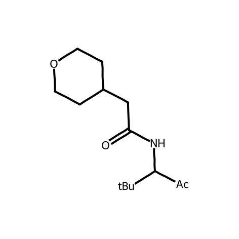 CC(=O)C(NC(=O)CC1CCOCC1)C(C)(C)C